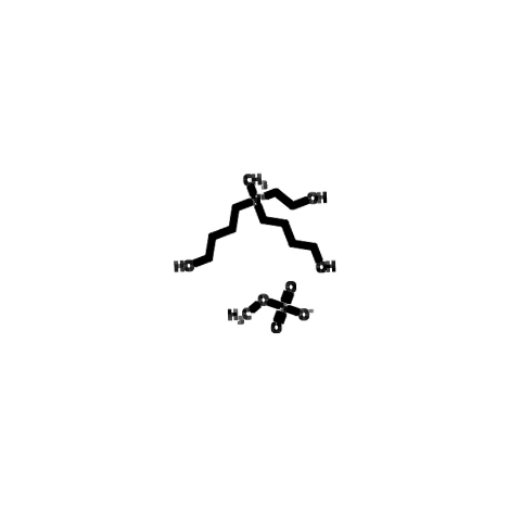 COS(=O)(=O)[O-].C[N+](CCO)(CCCCO)CCCCO